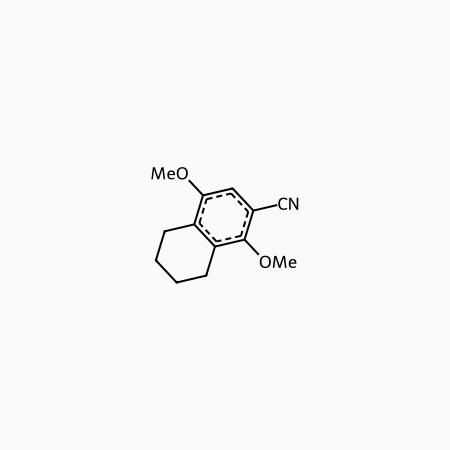 COc1cc(C#N)c(OC)c2c1CCCC2